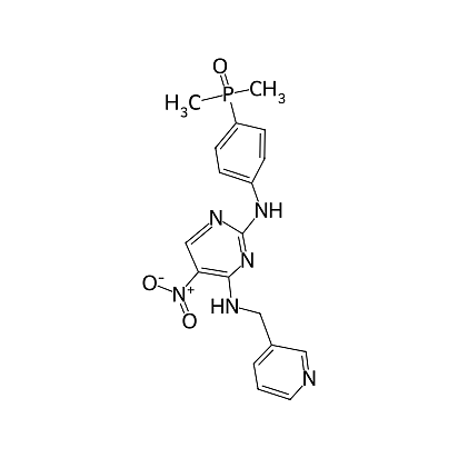 CP(C)(=O)c1ccc(Nc2ncc([N+](=O)[O-])c(NCc3cccnc3)n2)cc1